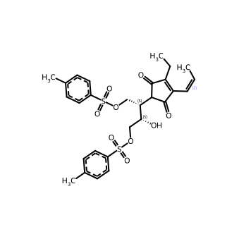 C/C=C\C1=C(CC)C(=O)C([C@@H](COS(=O)(=O)c2ccc(C)cc2)[C@H](O)COS(=O)(=O)c2ccc(C)cc2)C1=O